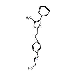 Cc1oc(COc2ccc(/C=C/CO)cc2)nc1-c1ccccc1